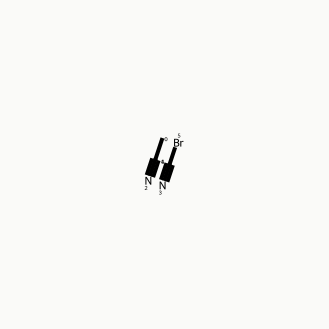 CC#N.N#CBr